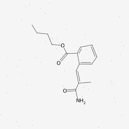 CCCCOC(=O)c1ccccc1C=C(C)C(N)=O